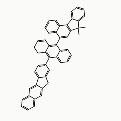 CC1(C)c2ccccc2-c2c1cc(-c1c3c(c(-c4ccc5c(c4)oc4cc6ccccc6cc45)c4ccccc14)CCC=C3)c1ccccc21